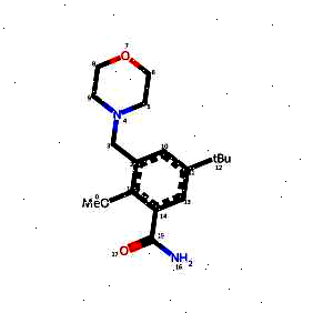 COc1c(CN2CCOCC2)cc(C(C)(C)C)cc1C(N)=O